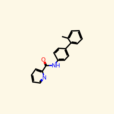 Cc1ccccc1-c1ccc(NC(=O)c2ccccn2)cc1